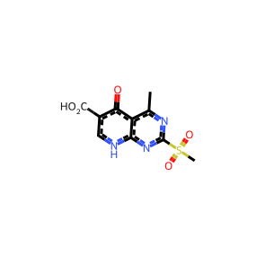 Cc1nc(S(C)(=O)=O)nc2[nH]cc(C(=O)O)c(=O)c12